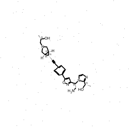 C[C@H](O)CN1C[C@@H]2[C@@H](C#Cc3ccc(-c4cc([C@@H](CN)n5ccnc5[C@H](C)O)no4)cc3)[C@@H]2C1